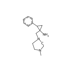 CN1CCN(CC2(N)CC2c2ccccc2)CC1